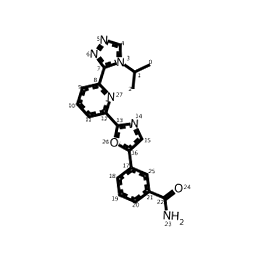 CC(C)n1cnnc1-c1cccc(-c2ncc(-c3cccc(C(N)=O)c3)o2)n1